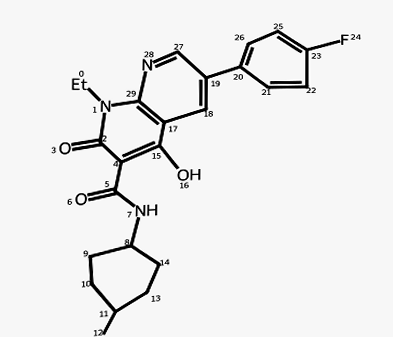 CCn1c(=O)c(C(=O)NC2CCC(C)CC2)c(O)c2cc(-c3ccc(F)cc3)cnc21